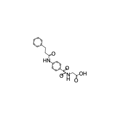 O=C(O)CNS(=O)(=O)c1ccc(NC(=O)CCc2ccccc2)cc1